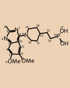 COc1cc2nc(C)nc(N3CCC(CCP(O)O)CC3)c2cc1OC